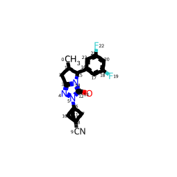 CC1Cc2nn(C34CC(C#N)(C3)C4)c(=O)n2C1c1cc(F)cc(F)c1